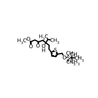 COC(=O)CC(=O)CC(O)(CCc1ccc(CO[Si](C)(C)C(C)(C)C)s1)C(C)C